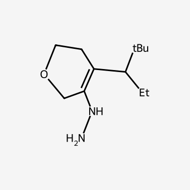 CCC(C1=C(NN)COCC1)C(C)(C)C